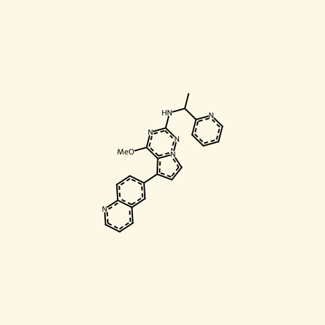 COc1nc(NC(C)c2ccccn2)nn2ccc(-c3ccc4ncccc4c3)c12